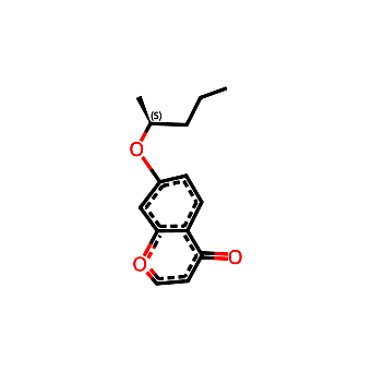 CCC[C@H](C)Oc1ccc2c(=O)ccoc2c1